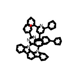 c1ccc(-c2ccc(-c3nc(-c4ccccc4)nc(-n4c5ccccc5c5ccc6c7ccccc7n(-c7ccc(-c8cc(-c9ccccc9)nc(-c9ccccc9)c8)cc7)c6c54)n3)cc2)cc1